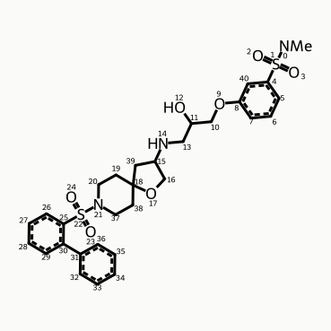 CNS(=O)(=O)c1cccc(OCC(O)CNC2COC3(CCN(S(=O)(=O)c4ccccc4-c4ccccc4)CC3)C2)c1